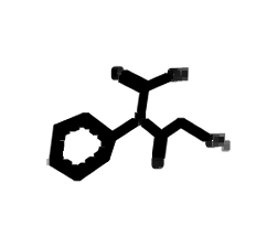 CCC(=O)N(C(=O)O)c1cc[c]cc1